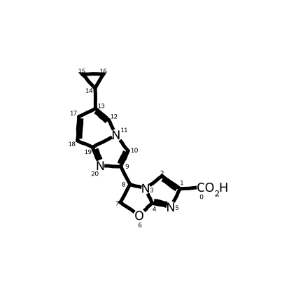 O=C(O)c1cn2c(n1)OCC2c1cn2cc(C3CC3)ccc2n1